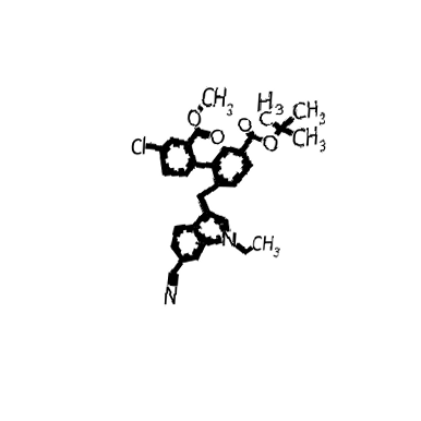 CCn1cc(Cc2ccc(C(=O)OC(C)(C)C)cc2-c2ccc(Cl)cc2C(=O)OC)c2ccc(C#N)cc21